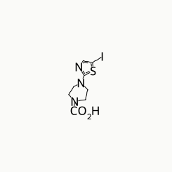 O=C(O)N1CCN(c2ncc(I)s2)CC1